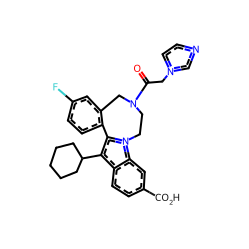 O=C(O)c1ccc2c(C3CCCCC3)c3n(c2c1)CCN(C(=O)Cn1ccnc1)Cc1cc(F)ccc1-3